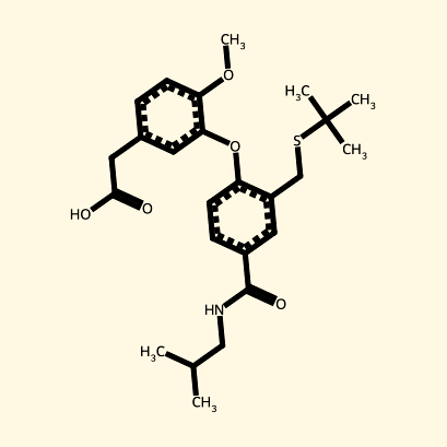 COc1ccc(CC(=O)O)cc1Oc1ccc(C(=O)NCC(C)C)cc1CSC(C)(C)C